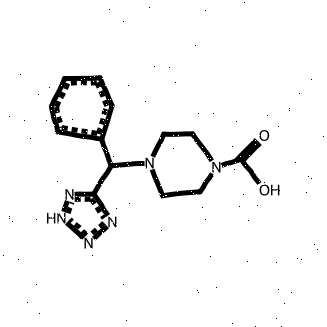 O=C(O)N1CCN(C(c2ccccc2)c2nn[nH]n2)CC1